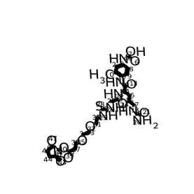 Cc1cc(NC(=O)O)ccc1NC(=O)C(CCCNC(N)=O)NC(=O)CNC(=S)NCCOCCOCCC(=O)ON1C(=O)CCC1=O